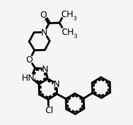 CC(C)C(=O)N1CCC(Oc2nc3nc(-c4cccc(-c5ccccc5)c4)c(Cl)cc3[nH]2)CC1